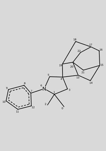 CC1(C)CC2(CN1c1ccccc1)C1CC3CC4CC2C1(C3)C4